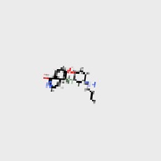 CCCCN[C@H]1CC[C@@H](Oc2ccc3c(=O)[nH]ccc3c2Cl)CC1